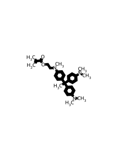 C=C(C)C(=O)OCCN(C)c1ccc(C(C)(c2ccc(N(C)C)cc2)c2ccc(N(C)C)cc2)cc1